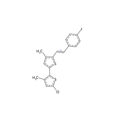 Cc1cc(-c2sc(Cl)cc2C)sc1/C=C/c1ccc(I)cc1